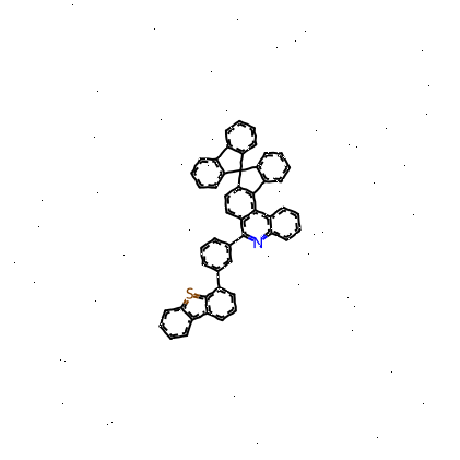 c1cc(-c2nc3ccccc3c3c4c(ccc23)C2(c3ccccc3-c3ccccc32)c2ccccc2-4)cc(-c2cccc3c2sc2ccccc23)c1